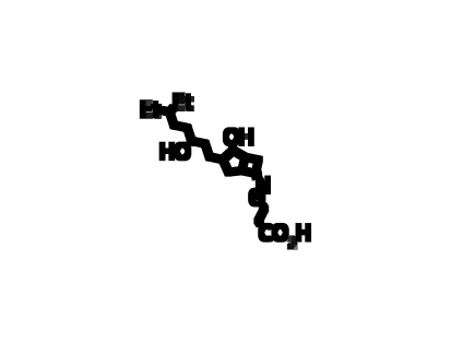 CCC(CC)CCC(O)CCC1CC2C(=NOCCC(=O)O)CC2C1O